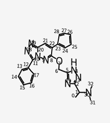 CC(c1n[nH]c(COc2nn3c(-c4ccccc4)nnc3cc2-c2ccccc2)n1)N(C)C